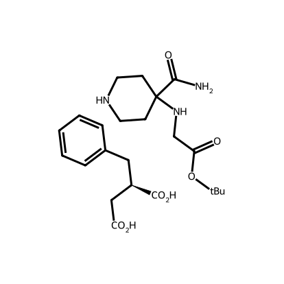 CC(C)(C)OC(=O)CNC1(C(N)=O)CCNCC1.O=C(O)C[C@@H](Cc1ccccc1)C(=O)O